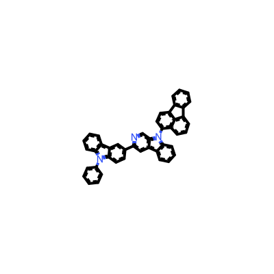 c1ccc(-n2c3ccccc3c3cc(-c4cc5c6ccccc6n(-c6ccc7c8c(cccc68)-c6ccccc6-7)c5cn4)ccc32)cc1